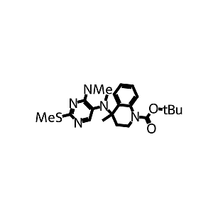 CNc1nc(SC)ncc1N(C)C1(C)CCN(C(=O)OC(C)(C)C)c2ccccc21